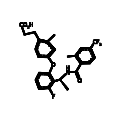 Cc1cc(Oc2cccc(F)c2[C@H](C)NC(=O)c2ccc(C(F)(F)F)cc2C)ccc1CCC(=O)O